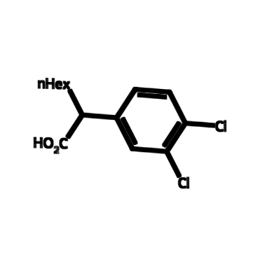 CCCCCCC(C(=O)O)c1ccc(Cl)c(Cl)c1